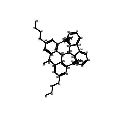 CCCCc1cc(C#N)c2c(c1)N(C)c1cc(CCCC)cc(C#N)c1N2B1c2ccccc2-c2ccccc21